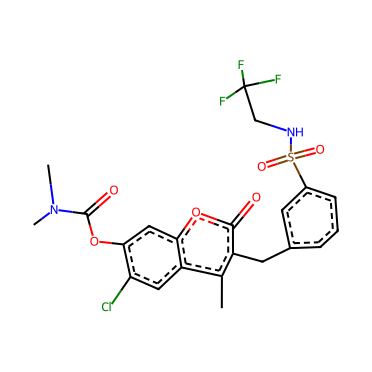 Cc1c(Cc2cccc(S(=O)(=O)NCC(F)(F)F)c2)c(=O)oc2cc(OC(=O)N(C)C)c(Cl)cc12